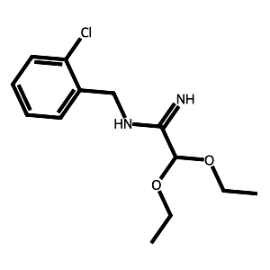 CCOC(OCC)C(=N)NCc1ccccc1Cl